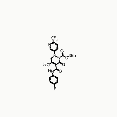 CC(C)(C)OC(=O)N1C(=O)C(C(=O)Nc2ccc(F)cc2)=C(O)CN1c1ccc(C(F)(F)F)nc1